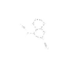 [CH2]C(C#N)c1cc(C#N)cc2ccccc12